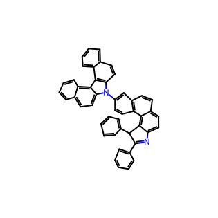 c1ccc(C2=Nc3ccc4ccc5cc(-n6c7ccc8ccccc8c7c7c8ccccc8ccc76)ccc5c4c3C2c2ccccc2)cc1